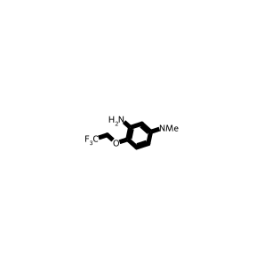 CNc1ccc(OCC(F)(F)F)c(N)c1